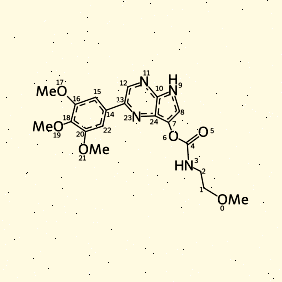 COCCNC(=O)Oc1c[nH]c2ncc(-c3cc(OC)c(OC)c(OC)c3)nc12